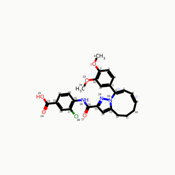 COc1ccc(/C2=C/C=C\CCCc3cc(C(=O)Nc4ccc(C(=O)O)cc4Cl)nn32)cc1OC